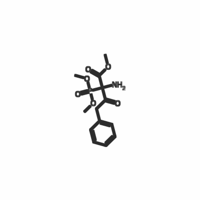 COC(=O)C(N)(C(=O)Cc1ccccc1)P(=O)(OC)OC